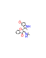 COc1ccc2[nH]c(C)c(C3Oc4ccccc4C(=O)C3=CNC(C)(C)C)c2c1